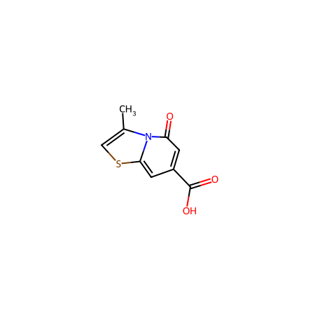 Cc1csc2cc(C(=O)O)cc(=O)n12